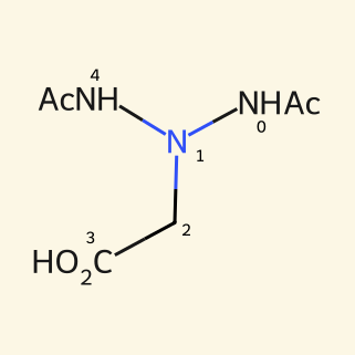 CC(=O)NN(CC(=O)O)NC(C)=O